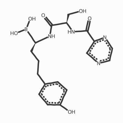 O=C(N[C@H](CO)C(=O)N[C@@H](CCCc1ccc(O)cc1)B(O)O)c1cnccn1